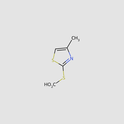 Cc1csc(SC(=O)O)n1